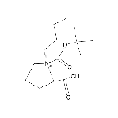 CCCC[N@@+]1(C(=O)OC(C)(C)C)CCCC1C(=O)O